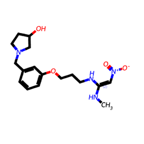 CN/C(=C/[N+](=O)[O-])NCCCOc1cccc(CN2CCC(O)C2)c1